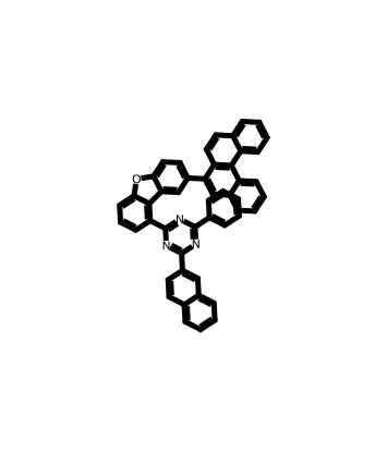 c1ccc(-c2nc(-c3ccc4ccccc4c3)nc(-c3cccc4oc5ccc(-c6cc7ccccc7c7c6ccc6ccccc67)cc5c34)n2)cc1